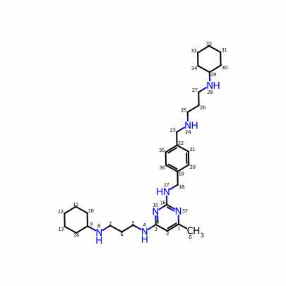 Cc1cc(NCCCNC2CCCCC2)nc(NCc2ccc(CNCCCNC3CCCCC3)cc2)n1